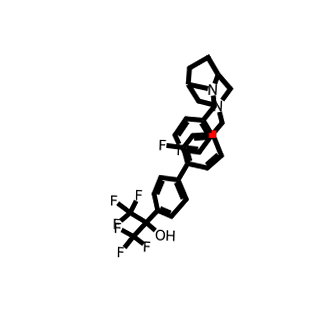 OC(c1ccc(-c2ccc(CN3CC4CCC(C3)N4Cc3ccncc3)cc2F)cc1)(C(F)(F)F)C(F)(F)F